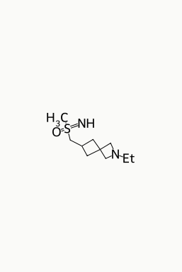 CCN1CC2(CC(CS(C)(=N)=O)C2)C1